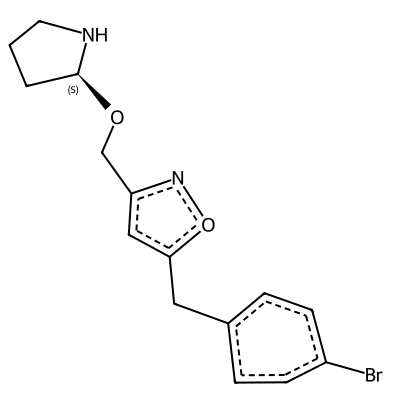 Brc1ccc(Cc2cc(CO[C@H]3CCCN3)no2)cc1